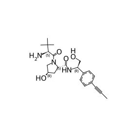 CC#Cc1ccc([C@H](CO)NC(=O)[C@@H]2C[C@@H](O)CN2C(=O)[C@@H](N)C(C)(C)C)cc1